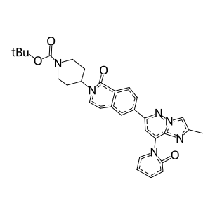 Cc1cn2nc(-c3ccc4c(=O)n(C5CCN(C(=O)OC(C)(C)C)CC5)ccc4c3)cc(-n3ccccc3=O)c2n1